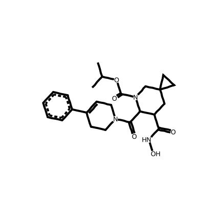 CC(C)OC(=O)N1CC2(CC2)CC(C(=O)NO)C1C(=O)N1CC=C(c2ccccc2)CC1